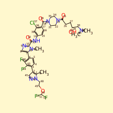 Cc1c(-c2ccc(-c3cnc(C(=O)Nc4ccc(C(=O)N5CCN(C(=O)CC[C@@H](O)CN(C)C)CC5)c(Cl)c4)n3C)c(F)c2F)cnn1CCOC(F)F